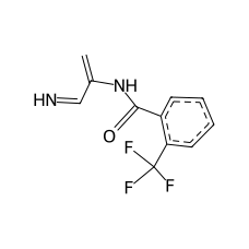 C=C(C=N)NC(=O)c1ccccc1C(F)(F)F